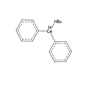 CCC[CH2][GeH]([c]1ccccc1)[c]1ccccc1